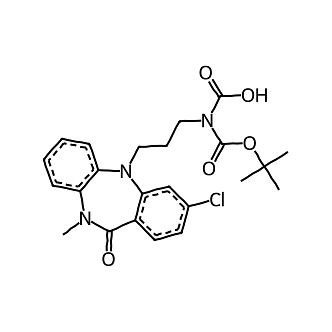 CN1C(=O)c2ccc(Cl)cc2N(CCCN(C(=O)O)C(=O)OC(C)(C)C)c2ccccc21